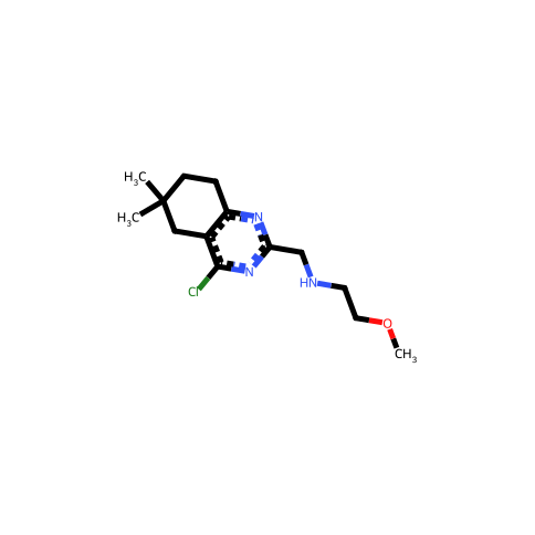 COCCNCc1nc(Cl)c2c(n1)CCC(C)(C)C2